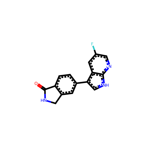 O=C1NCc2cc(-c3c[nH]c4ncc(F)cc34)ccc21